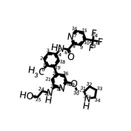 Cc1ccc(NC(=O)c2cc(C(F)(F)F)ccn2)cc1-c1cc(NCCO)nc(OC[C@@H]2CCCN2)c1